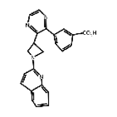 O=C(O)c1cccc(-c2nccnc2C2CN(c3ccc4ccccc4n3)C2)c1